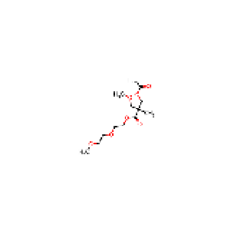 COCCOCCOC(=O)C(C)(COC)COC(C)=O